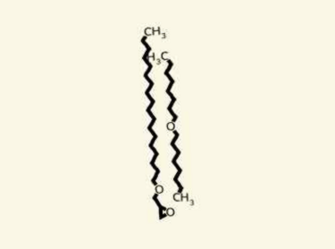 CCCCCCCCCCCCCCCCCCOCC1CO1.CCCCCCCCOCCCCCCCC